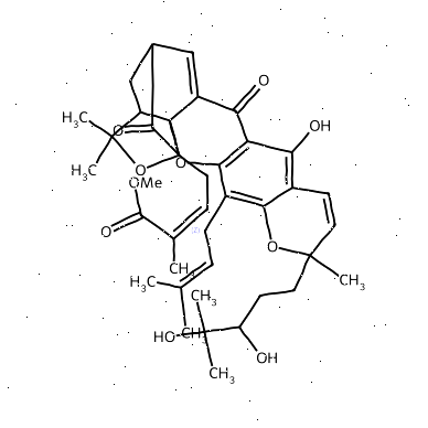 COC(=O)/C(C)=C\CC12OC(C)(C)C3CC(C=C4C(=O)c5c(O)c6c(c(CC=C(C)C)c5OC431)OC(C)(CCC(O)C(C)(C)O)C=C6)C2=O